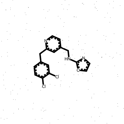 Clc1ccc(Cc2cc(CNc3ncco3)ccn2)cc1Cl